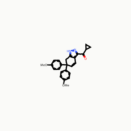 COc1ccc(C2(c3ccc(OC)cc3)C=Cc3c(C(=O)C4CC4)n[nH]c3C2)cc1